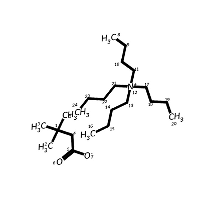 CC(C)(C)CC(=O)[O-].CCCC[N+](CCCC)(CCCC)CCCC